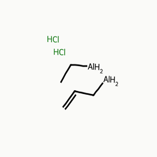 C=C[CH2][AlH2].C[CH2][AlH2].Cl.Cl